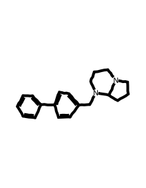 c1ccc(-c2ccc(CN3CCCN4CCCC43)cc2)cc1